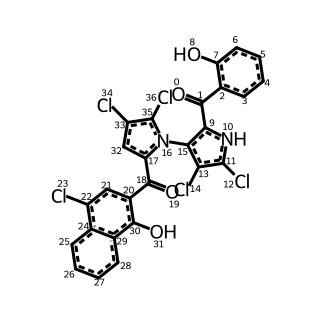 O=C(c1ccccc1O)c1[nH]c(Cl)c(Cl)c1-n1c(C(=O)c2cc(Cl)c3ccccc3c2O)cc(Cl)c1Cl